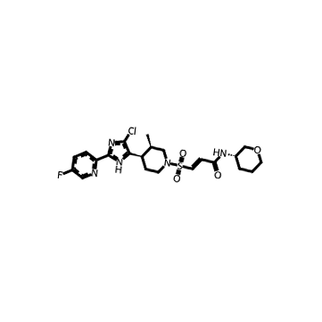 C[C@H]1CN(S(=O)(=O)C=CC(=O)N[C@H]2CCCOC2)CC[C@H]1c1[nH]c(-c2ccc(F)cn2)nc1Cl